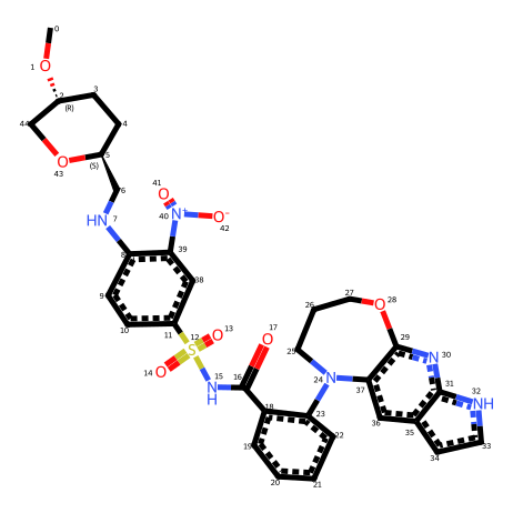 CO[C@@H]1CC[C@@H](CNc2ccc(S(=O)(=O)NC(=O)c3ccccc3N3CCCOc4nc5[nH]ccc5cc43)cc2[N+](=O)[O-])OC1